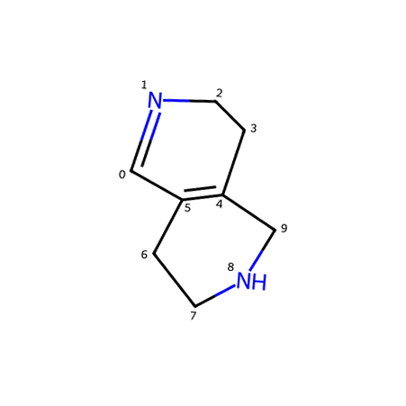 C1=NCCC2=C1CCNC2